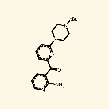 CC(C)(C)N1CCN(c2cccc(C(=O)c3cccnc3N)n2)CC1